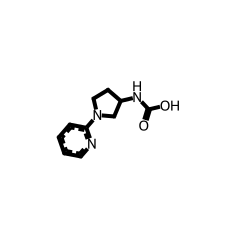 O=C(O)NC1CCN(c2ccccn2)C1